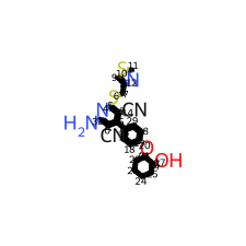 N#Cc1c(N)nc(SCc2cscn2)c(C#N)c1-c1ccc(O[C@H]2CCCC[C@@H]2O)cc1